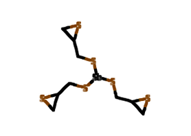 C1SC1C[S][Sb]([S]CC1CS1)[S]CC1CS1